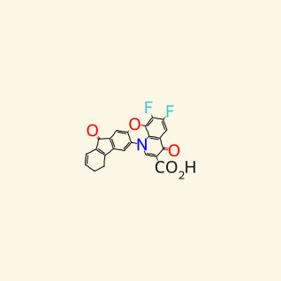 O=C(O)c1cn2c3cc4c5c(c(=O)c4cc3oc3c(F)c(F)cc(c1=O)c32)C=CCC5